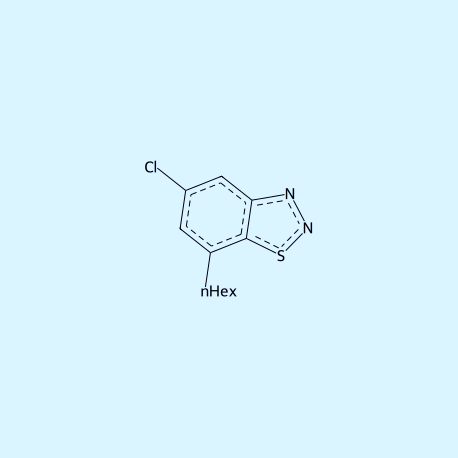 CCCCCCc1cc(Cl)cc2nnsc12